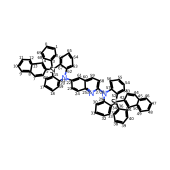 c1ccc([Si]2(c3ccc4ccccc4c3)c3ccccc3N(c3ccc4nc(N5c6ccccc6[Si](c6ccccc6)(c6ccc7ccccc7c6)c6ccccc65)ccc4c3)c3ccccc32)cc1